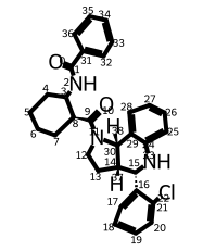 O=C(NC1CCCC[C@@H]1C(=O)N1CC[C@H]2[C@@H](c3ccccc3Cl)Nc3ccccc3[C@H]21)c1ccccc1